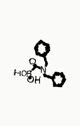 O=C(B(O)O)N(Cc1ccccc1)Cc1ccccc1